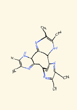 N#CC1=C(C#N)NC2C(=N1)c1nc(C#N)c(C#N)nc1C1NC(C#N)=C(C#N)N=C21